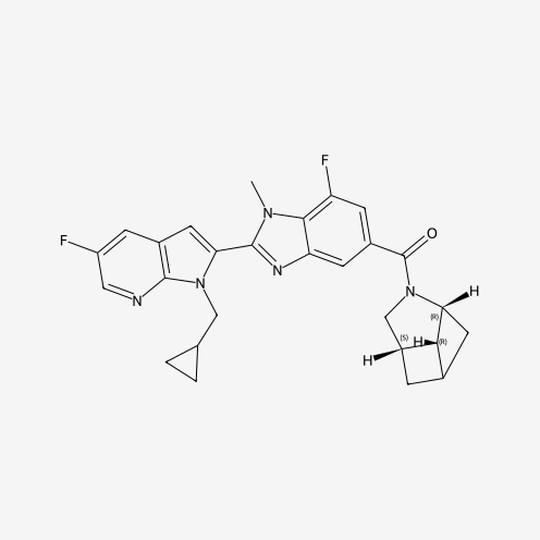 Cn1c(-c2cc3cc(F)cnc3n2CC2CC2)nc2cc(C(=O)N3C[C@H]4CC5C[C@@H]3[C@H]54)cc(F)c21